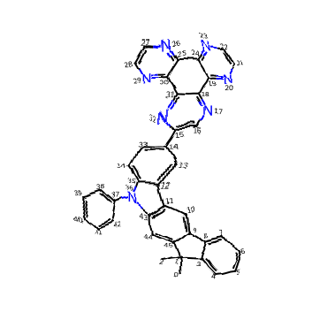 CC1(C)c2ccccc2-c2cc3c4cc(-c5cnc6c7nccnc7c7nccnc7c6n5)ccc4n(-c4ccccc4)c3cc21